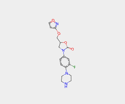 O=C1OC(COc2ccon2)CN1c1ccc(N2CCNCC2)c(F)c1